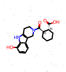 O=C(O)[C@@H]1CCCC[C@H]1C(=O)N1CCc2[nH]c3c(O)cccc3c2C1